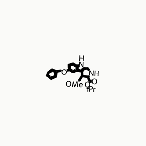 COCC1c2c([nH]c3ccc(OCc4ccccc4)cc23)CNC1C(=O)OC(C)C